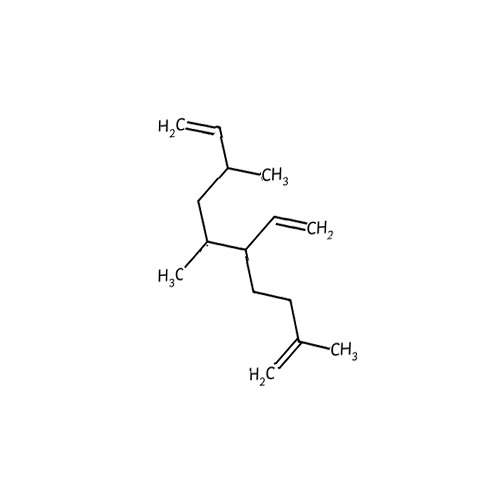 C=CC(C)C[C](C)C(C=C)CCC(=C)C